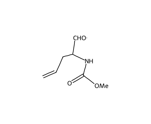 C=CCC([C]=O)NC(=O)OC